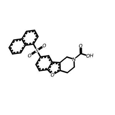 O=C(O)N1CCc2oc3ccc(S(=O)(=O)c4cccc5ccccc45)cc3c2C1